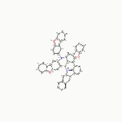 c1ccc2cc3c(cc2c1)c1cccc2c1n3B1c3cc4oc5ccccc5c4cc3N(c3ccc4oc5ccccc5c4c3)c3cc4c(oc5ccccc54)c-2c31